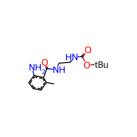 Cc1cccc(N)c1C(=O)NCCNC(=O)OC(C)(C)C